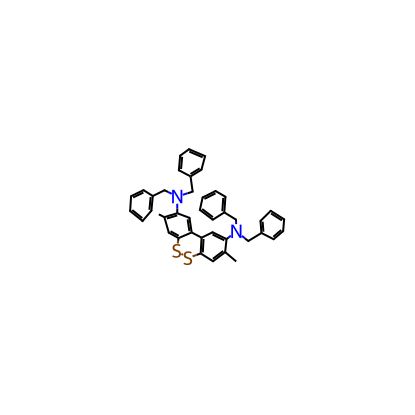 Cc1cc2c(cc1N(Cc1ccccc1)Cc1ccccc1)-c1cc(N(Cc3ccccc3)Cc3ccccc3)c(C)cc1SS2